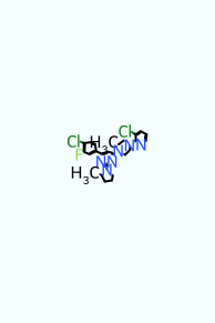 C[C@@H]1CN(c2ncccc2Cl)CCN1c1cc(-c2ccc(Cl)c(F)c2)nc(N2CCC[C@H]2C)n1